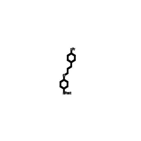 CCCCCC1CCC(OCCCC2CCC(CCC)CC2)CC1